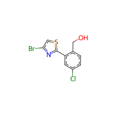 OCc1ccc(Cl)cc1-c1nc(Br)cs1